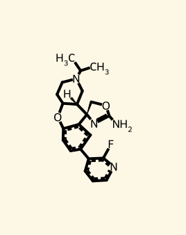 CC(C)N1CCC2Oc3ccc(-c4cccnc4F)cc3[C@]3(COC(N)=N3)[C@H]2C1